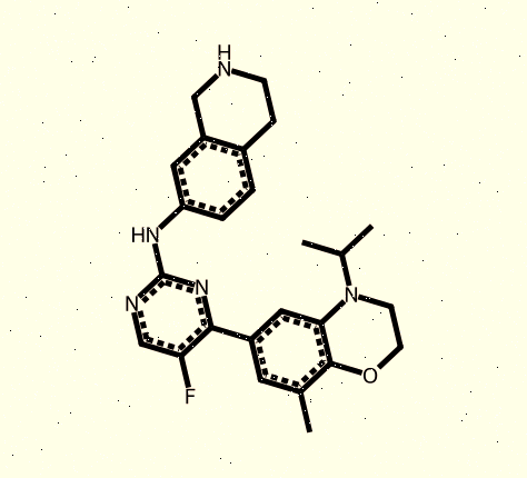 Cc1cc(-c2nc(Nc3ccc4c(c3)CNCC4)ncc2F)cc2c1OCCN2C(C)C